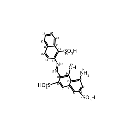 Nc1cc(S(=O)(=O)O)cc2cc(S(=O)(=O)O)c(N=Nc3ccc4ccccc4c3S(=O)(=O)O)c(O)c12